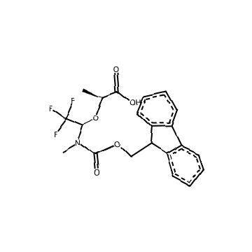 C[C@H](OC(N(C)C(=O)OCC1c2ccccc2-c2ccccc21)C(F)(F)F)C(=O)O